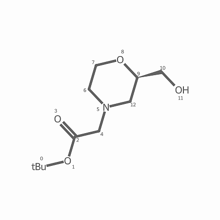 CC(C)(C)OC(=O)CN1CCO[C@@H](CO)C1